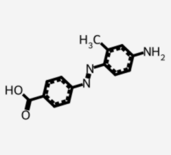 Cc1cc(N)ccc1N=Nc1ccc(C(=O)O)cc1